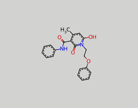 Cc1cc(O)n(CCOc2ccccc2)c(=O)c1C(=O)Nc1ccccc1